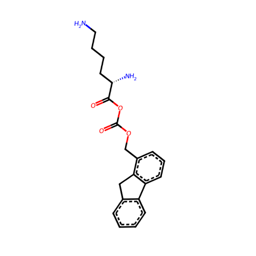 NCCCC[C@H](N)C(=O)OC(=O)OCc1cccc2c1Cc1ccccc1-2